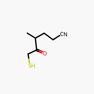 CC(CCC#N)C(=O)CS